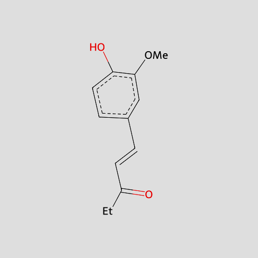 CCC(=O)C=Cc1ccc(O)c(OC)c1